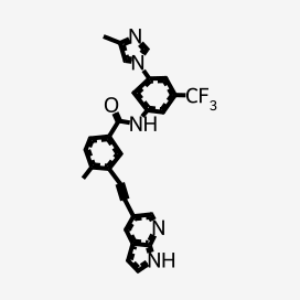 Cc1cn(-c2cc(NC(=O)c3ccc(C)c(C#Cc4cnc5[nH]ccc5c4)c3)cc(C(F)(F)F)c2)cn1